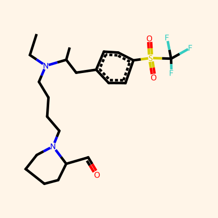 CCN(CCCCN1CCCCC1C=O)C(C)Cc1ccc(S(=O)(=O)C(F)(F)F)cc1